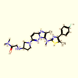 CCc1nc2ccc(N3CCC(NCC(=O)N(C)C)C3)nn2c1N(C)c1nc(-c2ccc(F)cc2)c(C#N)s1